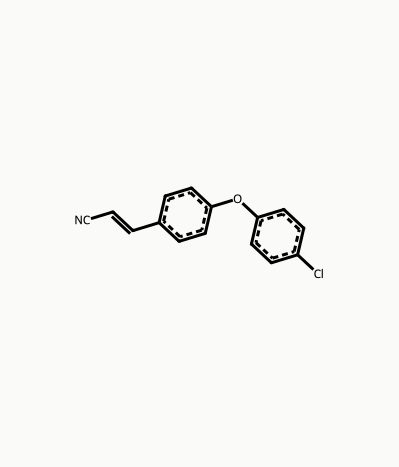 N#C/C=C/c1ccc(Oc2ccc(Cl)cc2)cc1